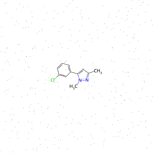 Cc1[c]c(-c2cccc(Cl)c2)n(C)n1